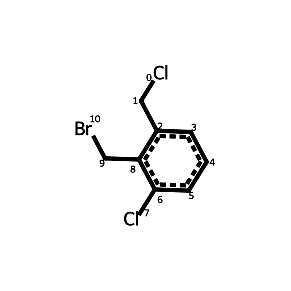 ClCc1cccc(Cl)c1CBr